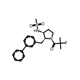 CC(C)(F)C(=O)N1CC[C@H](NS(C)(=O)=O)[C@@H]1Cc1cccc(-c2ccccc2)c1